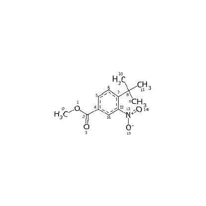 COC(=O)c1ccc(C(C)(C)C)c([N+](=O)[O-])c1